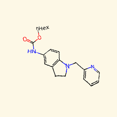 CCCCCCOC(=O)Nc1ccc2c(c1)CCN2Cc1ccccn1